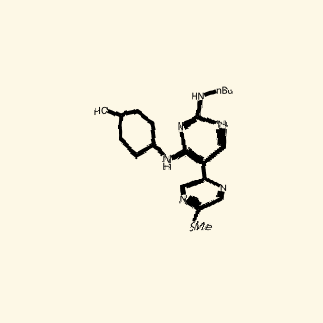 CCCCNc1ncc(-c2cnc(SC)cn2)c(NC2CCC(O)CC2)n1